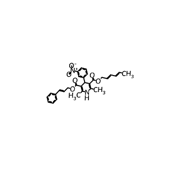 CC=CC=CCOC(=O)C1=C(C)NC(C)=C(C(=O)OCC=Cc2ccccc2)C1c1cccc([N+](=O)[O-])c1